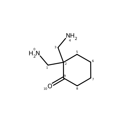 NCC1(CN)CCCCC1=O